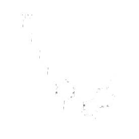 CNCCCCCCOc1ccc(-c2n[nH]c3ccc(Br)cc23)c(F)c1